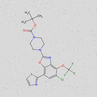 CC(C)(C)OC(=O)N1CCN(c2nc3c(OC(F)(F)F)c(Cl)cc(-c4nccs4)c3o2)CC1